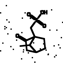 CC1C2CCC1(CS(=O)(=O)O)C(=O)C2